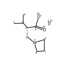 CC(C)[C@@H](CN1CCC1)C(=O)[O-].[Li+]